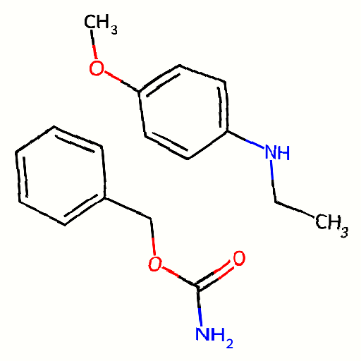 CCNc1ccc(OC)cc1.NC(=O)OCc1ccccc1